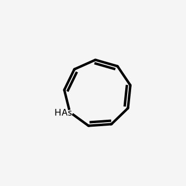 C1=CC=C[AsH]C=CC=C1